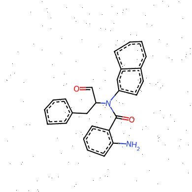 Nc1ccccc1C(=O)N(c1ccc2ccccc2c1)C(C=O)Cc1ccccc1